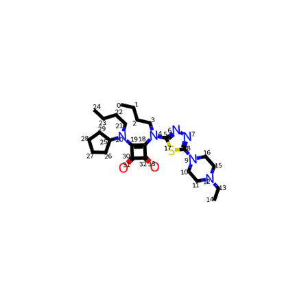 CCCCN(c1nnc(N2CCN(CC)CC2)s1)c1c(N(CCCC)C2CCCC2)c(=O)c1=O